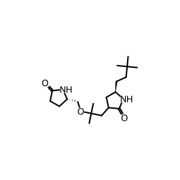 CC(C)(C)CC[C@@H]1CC(CC(C)(C)OC[C@@H]2CCC(=O)N2)C(=O)N1